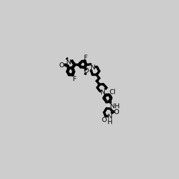 COc1cc(-c2cn(C)c(=O)c3ccc(F)cc23)cc(F)c1CN1CCC(CCC2CCN(c3ccc(NC4CCC(=O)NC4=O)cc3Cl)CC2)CC1